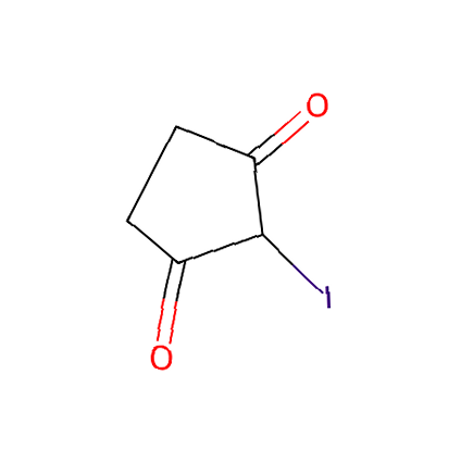 O=C1CCC(=O)C1I